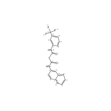 O=C(CC(=O)Nc1ccc2ncccc2c1)Nc1cccc(C(F)(F)F)c1